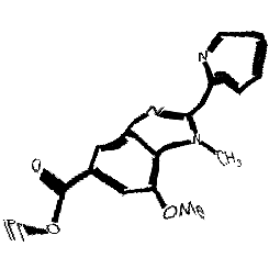 COc1cc(C(=O)OC(C)C)cc2nc(-c3ccccn3)n(C)c12